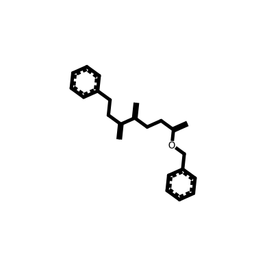 C=C(CCC(=C)C(=C)CCc1ccccc1)OCc1ccccc1